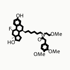 COCCN(CCCCCC[C@@H]1Cc2cc(O)ccc2C2C1C1CC[C@H](O)[C@@]1(C)C[C@@H]2F)C(=O)Cc1ccc(OC)c(OC)c1